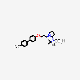 CCC(C)(C)N(C(=O)O)C1CCCN1CCCOc1ccc(-c2ccc(C#N)cc2)cc1